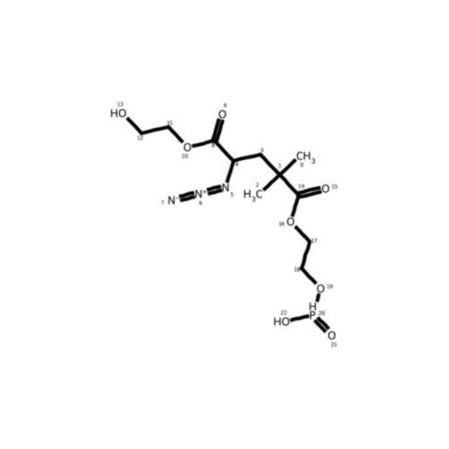 CC(C)(CC(N=[N+]=[N-])C(=O)OCCO)C(=O)OCCO[PH](=O)O